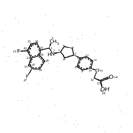 C[C@@H](N[C@H]1CC[C@@H](c2ccc(OCC(=O)O)cc2)C1)c1ccc(F)c2cc(F)ccc12